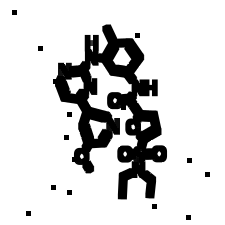 CCN(CC)S(=O)(=O)c1ccc(C(=O)Nc2ccc(C)c(Nc3nccc(-c4cncc(OC)c4)n3)c2)o1